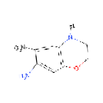 CCN1CCOc2cc(N)c([N+](=O)[O-])cc21